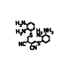 N#CC(=CSc1cccc(N)c1N)C(C#N)=CSc1cccc(N)c1N